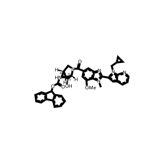 COc1cc(C(=O)N2C[C@H]3C[C@H](O)[C@@H]2[C@@H]3NC(=O)OC2c3ccccc3-c3ccccc32)cc2nc(-c3cc4cccnc4n3CC3CC3)n(C)c12